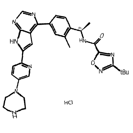 Cc1cc(-c2ncnc3[nH]c(-c4ccc(N5CCNCC5)cn4)cc23)ccc1[C@@H](C)NC(=O)c1nc(C(C)(C)C)no1.Cl